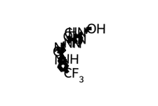 O=C(NCc1cc(-c2nc3ccc(C(F)(F)F)cc3[nH]2)on1)c1ncnc(NCCO)c1Cl